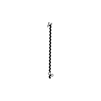 C=CC(=O)OCCCCCCCCCCCCCCCCCCCCCCCCCCCCCC(F)(F)F